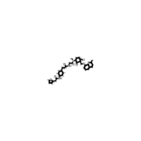 Cc1ccc2cccc(OCc3c(Cl)ccc(N(C)C(=O)CNC(=O)C=Cc4ccc(NC(=O)Cc5cccs5)cc4)c3Cl)c2n1